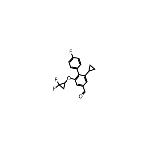 O=Cc1cc(OC2CC2(F)F)c(-c2ccc(F)cc2)c(C2CC2)c1